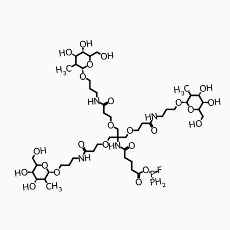 CC1[C@H](OCCCNC(=O)CCOCC(COCCC(=O)NCCCO[C@@H]2OC(CO)[C@H](O)[C@H](O)C2C)(COCCC(=O)NCCCO[C@@H]2OC(CO)[C@H](O)[C@H](O)C2C)NC(=O)CCCC(=O)OP(F)P)OC(CO)[C@H](O)[C@@H]1O